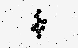 c1ccc(-c2cccc(-c3cc(-c4ccc5c(c4)oc4cccc(-c6nc(-c7ccccc7)nc(-c7ccccc7)n6)c45)c4sc5ccccc5c4c3)c2)cc1